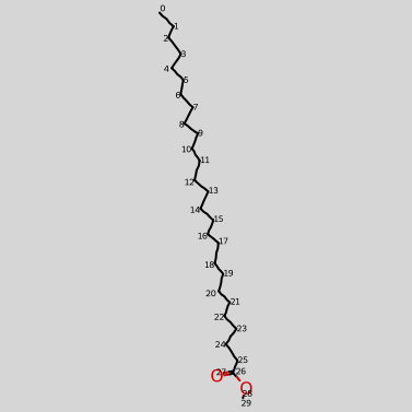 CCCCCCCCCCCCCCCCCCCCCCCCCCC(=O)OC